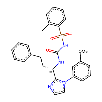 COc1cccc(-n2ccnc2[C@H](CCc2ccccc2)NC(=O)NS(=O)(=O)c2ccccc2C)c1